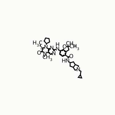 CC[C@@H]1C(=O)N(C)c2cnc(Nc3ccc(C(=O)NC4CC5CN(CC6CC6)CC5C4)c4c3OC(C)(C)C4)nc2N1C1CCCC1